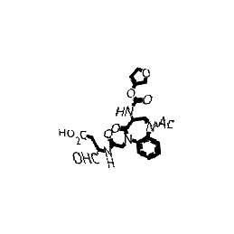 CC(=O)N1C[C@H](NC(=O)OC2CCOC2)C(=O)N(CC(=O)N[C@H](C=O)CC(=O)O)c2ccccc21